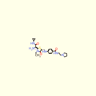 CCN1C(=O)[C@@H](CNc2ccc(C(=O)NCCN3CCCC3)cc2)S/C1=C(/N)C(=O)NC1CC1